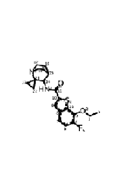 CCOc1c(F)ccc2cc(C(=O)NC3C4CCN(CC4)C34CC4)sc12